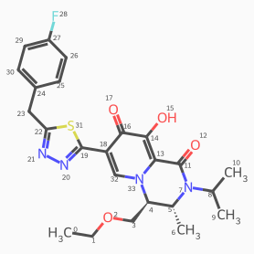 CCOC[C@@H]1[C@@H](C)N(C(C)C)C(=O)c2c(O)c(=O)c(-c3nnc(Cc4ccc(F)cc4)s3)cn21